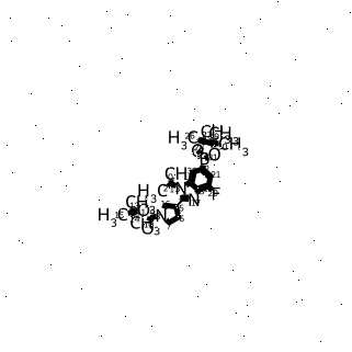 CC(C)n1c([C@H]2CCN(C(=O)OC(C)(C)C)C2)nc2c(F)cc(B3OC(C)(C)C(C)(C)O3)cc21